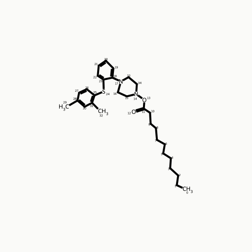 CCCCCCCCCCCC(=O)ON1CCN(c2ccccc2Sc2ccc(C)cc2C)CC1